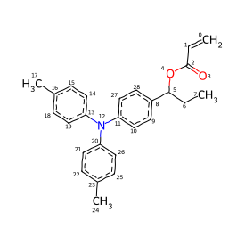 C=CC(=O)OC(CC)c1ccc(N(c2ccc(C)cc2)c2ccc(C)cc2)cc1